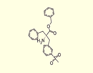 CS(=O)(=O)c1cccc(C[C@@](N)(Cc2ccccc2)C(=O)OCc2ccccc2)c1